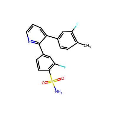 Cc1ccc(-c2cccnc2-c2ccc(S(N)(=O)=O)c(F)c2)cc1F